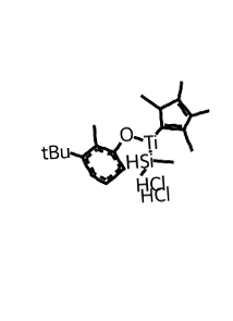 CC1=C(C)C(C)[C]([Ti]([O]c2cccc(C(C)(C)C)c2C)[SiH](C)C)=C1C.Cl.Cl